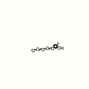 COCCOCCOCCOCCOc1ccc(F)c(O)c1